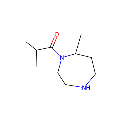 CC(C)C(=O)N1CCNCCC1C